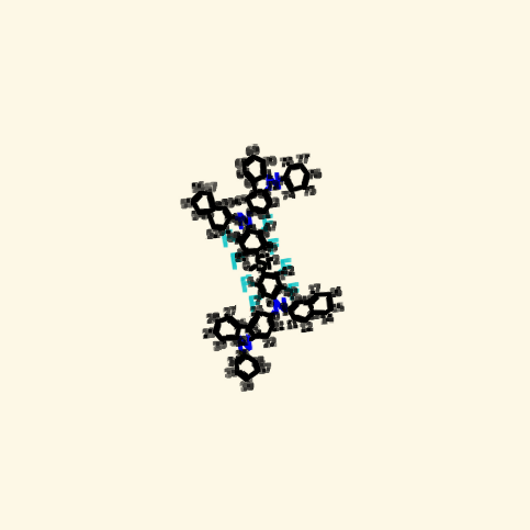 C[Si](C)(c1c(F)c(F)c(N(c2ccc3ccccc3c2)c2ccc3c(c2)c2ccccc2n3-c2ccccc2)c(F)c1F)c1c(F)c(F)c(N(c2ccc3ccccc3c2)c2ccc3c(c2)c2ccccc2n3-c2ccccc2)c(F)c1F